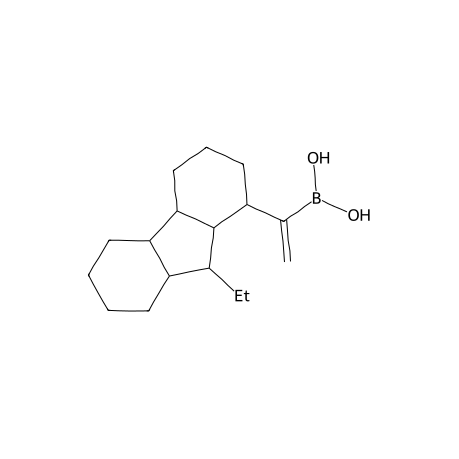 C=C(B(O)O)C1CCCC2C3CCCCC3C(CC)C12